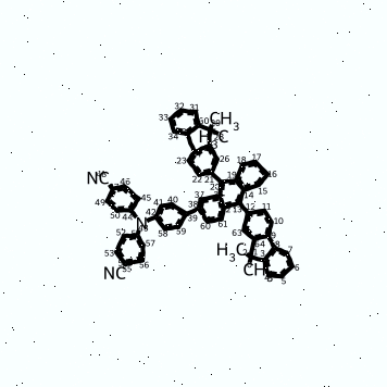 CC1(C)c2ccccc2-c2ccc(-c3c4ccccc4c(-c4ccc5c(c4)C(C)(C)c4ccccc4-5)c4cc(-c5ccc(N(c6ccc(C#N)cc6)c6ccc(C#N)cc6)cc5)ccc34)cc21